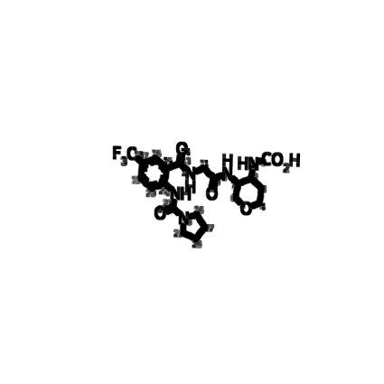 O=C(O)NC1CCOCC1NC(=O)CNC(=O)c1cc(C(F)(F)F)ccc1NC(=O)N1CCCC1